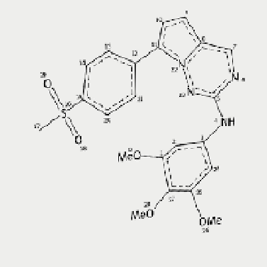 COc1cc(Nc2ncc3ccc(-c4ccc(S(C)(=O)=O)cc4)n3n2)cc(OC)c1OC